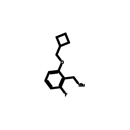 CC(C)(C)Cc1c(F)cccc1OCC1CCC1